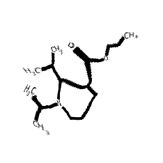 CCOC(=O)C1CCCN(C(C)C)C1C(C)C